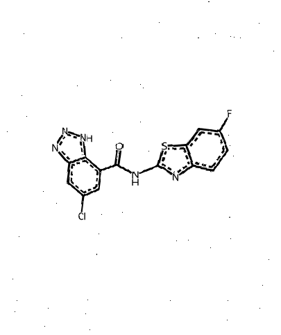 O=C(Nc1nc2ccc(F)cc2s1)c1cc(Cl)cc2nn[nH]c12